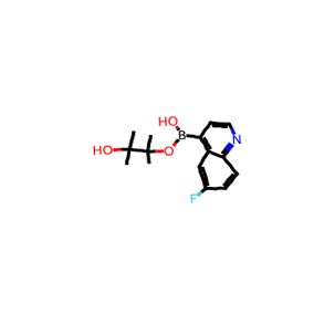 CC(C)(O)C(C)(C)OB(O)c1ccnc2ccc(F)cc12